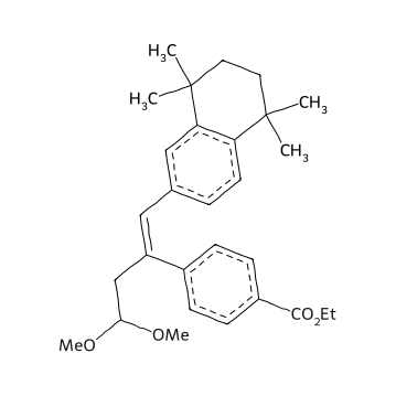 CCOC(=O)c1ccc(/C(=C\c2ccc3c(c2)C(C)(C)CCC3(C)C)CC(OC)OC)cc1